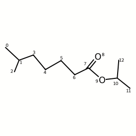 CC(C)CCCCC(=O)OC(C)C